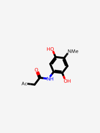 CNc1cc(O)c(NC(=O)CC(C)=O)cc1O